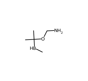 CBC(C)(C)OCN